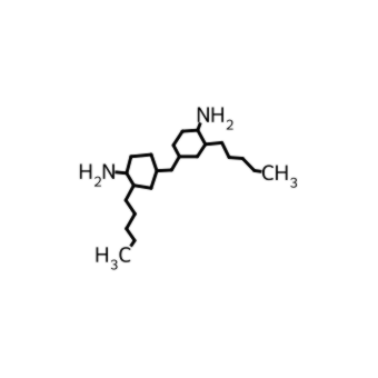 CCCCCC1CC(CC2CCC(N)C(CCCCC)C2)CCC1N